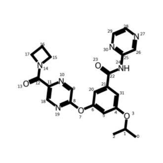 CC(C)Oc1cc(Oc2cnc(C(=O)N3CCC3)cn2)cc(C(=O)Nc2cnccn2)c1